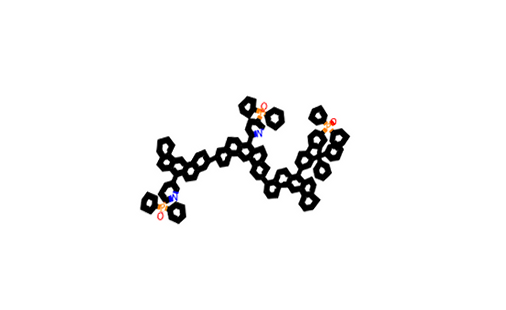 O=P(c1ccccc1)(c1ccccc1)c1ccc(-c2c3ccc4cc(-c5ccc6c(ccc7c(-c8ccc(P(=O)(c9ccccc9)c9ccccc9)nc8)c8ccc9ccccc9c8cc76)c5)ccc4c3cc3c2ccc2cc(-c4cccc5c4ccc4c(-c6ccc7c(c6)C(c6ccccc6)(c6ccccc6)c6cc(P(=O)(c8ccccc8)c8ccccc8)ccc6-7)c6ccc7ccccc7c6cc45)ccc23)nc1